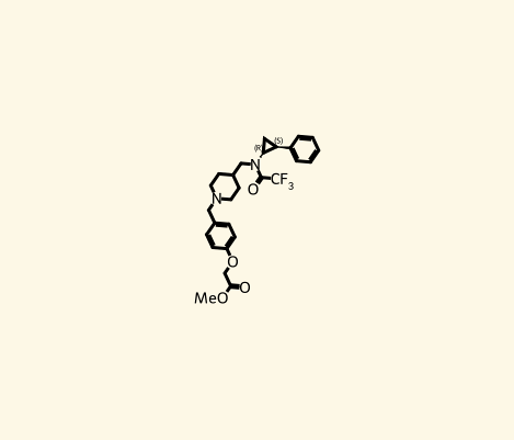 COC(=O)COc1ccc(CN2CCC(CN(C(=O)C(F)(F)F)[C@@H]3C[C@H]3c3ccccc3)CC2)cc1